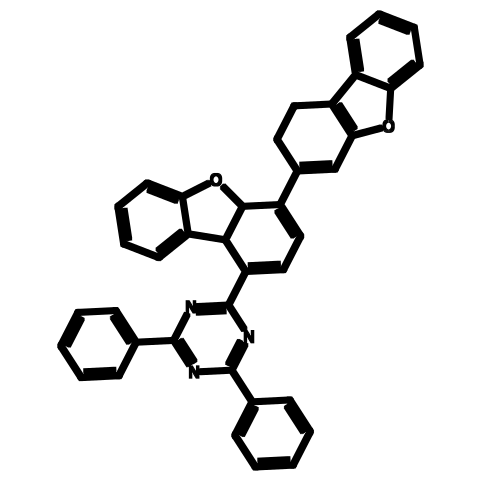 C1=C(C2=CC=C(c3nc(-c4ccccc4)nc(-c4ccccc4)n3)C3c4ccccc4OC23)CCc2c1oc1ccccc21